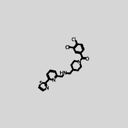 O=C(c1ccc(Cl)c(Cl)c1)N1CCC(CNCc2cccc(-c3nccs3)n2)CC1